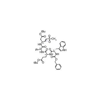 CC(C)[C@H](NC(=O)[C@H](CCC(=O)OC(C)(C)C)NC(=O)[C@H](Cc1c[nH]c2ccccc12)NC(=O)OCc1ccccc1)C(=O)N[C@H](/C=C/S(C)(=O)=O)CC(=O)OC(C)(C)C